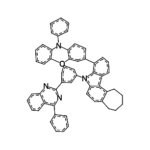 c1ccc(-c2nc(-c3cccc(-n4c5ccc6c(c5c5cccc(-c7ccc8c(c7)Oc7ccccc7N8c7ccccc7)c54)CCCCC6)c3)nc3ccccc23)cc1